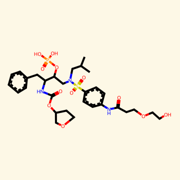 CC(C)CN(CC(OP(=O)(O)O)C(Cc1ccccc1)NC(=O)OC1CCOC1)S(=O)(=O)c1ccc(NC(=O)CCOCCO)cc1